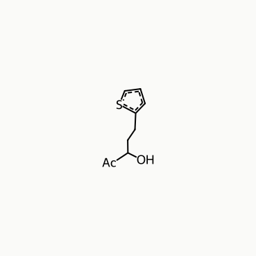 CC(=O)C(O)CCc1cccs1